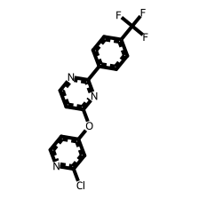 FC(F)(F)c1ccc(-c2nccc(Oc3ccnc(Cl)c3)n2)cc1